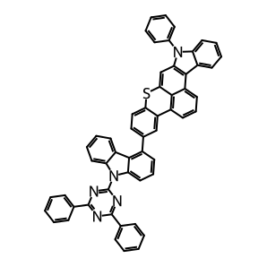 c1ccc(-c2nc(-c3ccccc3)nc(-n3c4ccccc4c4c(-c5ccc6c(c5)-c5cccc7c5c(cc5c7c7ccccc7n5-c5ccccc5)S6)cccc43)n2)cc1